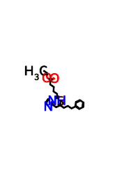 CCOC(=O)CCCCCSC(CCCc1ccccc1)Cc1ncc[nH]1